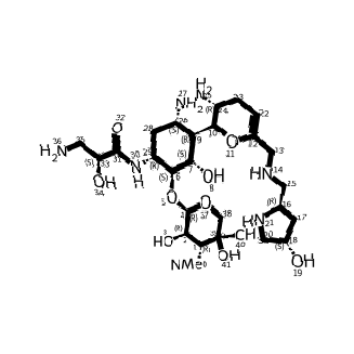 CN[C@@H]1[C@@H](O)[C@@H](O[C@@H]2[C@@H](O)[C@H](C3OC(CNC[C@H]4C[C@H](O)CN4)=CC[C@H]3N)[C@@H](N)C[C@H]2NC(=O)[C@@H](O)CN)OC[C@]1(C)O